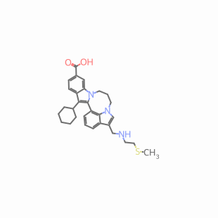 CSCCNCc1cn2c3c(cccc13)-c1c(C3CCCCC3)c3ccc(C(=O)O)cc3n1CCC2